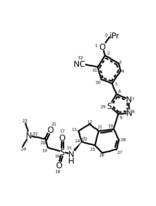 CC(C)Oc1ccc(-c2nnc(C3=C4CC[C@H](NS(=O)(=O)CC(=O)N(C)C)C4CC=C3)s2)cc1C#N